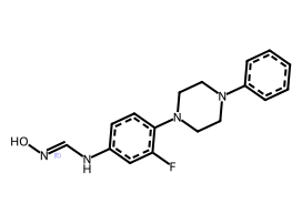 O/N=C/Nc1ccc(N2CCN(c3ccccc3)CC2)c(F)c1